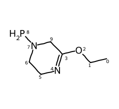 CCOC1=NCCN(P)C1